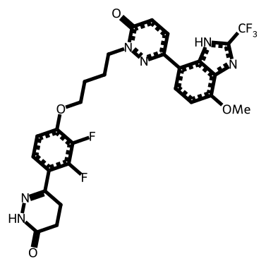 COc1ccc(-c2ccc(=O)n(CCCCOc3ccc(C4=NNC(=O)CC4)c(F)c3F)n2)c2[nH]c(C(F)(F)F)nc12